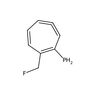 FCC1=C(P)C=C=CC=C1